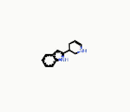 C1=CNCC(c2cc3ccccc3[nH]2)C1